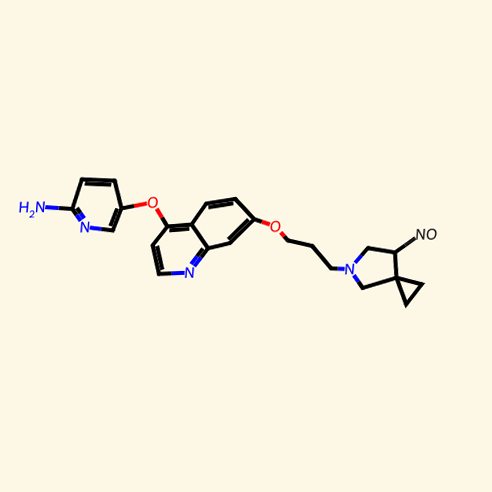 Nc1ccc(Oc2ccnc3cc(OCCCN4CC(N=O)C5(CC5)C4)ccc23)cn1